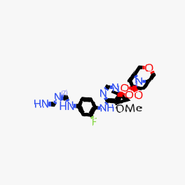 COc1c(Nc2ccc(N/C=N\C=N)cc2F)ncnc1OC1CC2COCC(C1)N2C(=O)OC1(C)CC1